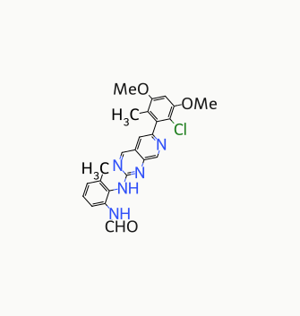 COc1cc(OC)c(Cl)c(-c2cc3cnc(Nc4c(C)cccc4NC=O)nc3cn2)c1C